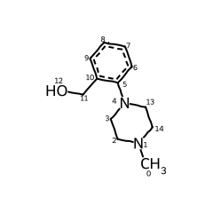 CN1CCN(c2cc[c]cc2CO)CC1